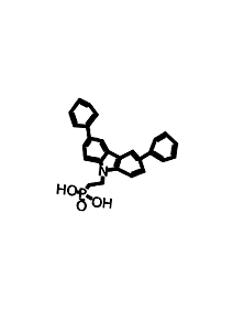 O=P(O)(O)CCn1c2ccc(-c3ccccc3)cc2c2cc(-c3ccccc3)ccc21